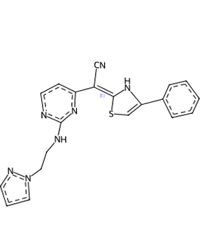 N#C/C(=C1\NC(c2ccccc2)=CS1)c1ccnc(NCCn2cccn2)n1